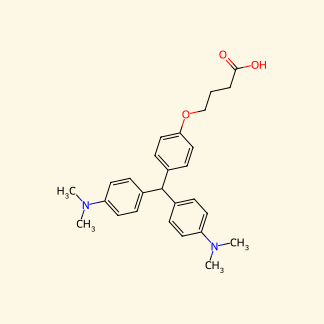 CN(C)c1ccc(C(c2ccc(OCCCC(=O)O)cc2)c2ccc(N(C)C)cc2)cc1